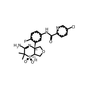 CC1(C)C(N)=N[C@]2(c3cc(NC(=O)c4ccc(Cl)cn4)ccc3F)COC[C@H]2S1(=O)=O